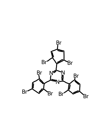 Brc1cc(Br)c(-c2nc(-c3c(Br)cc(Br)cc3Br)nc(-c3c(Br)cc(Br)cc3Br)n2)c(Br)c1